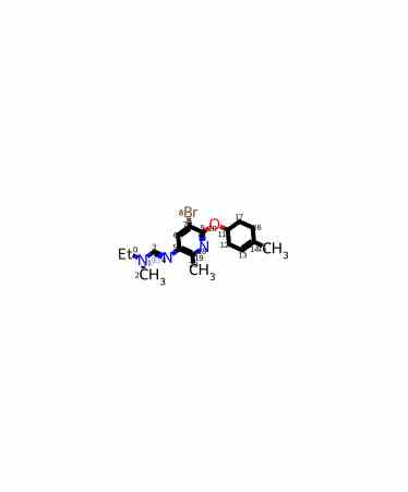 CCN(C)/C=N/c1cc(Br)c(OC2CC=C(C)CC2)nc1C